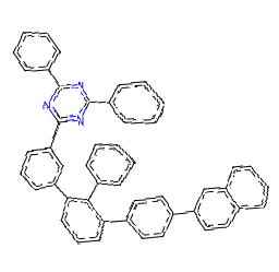 c1ccc(-c2nc(-c3ccccc3)nc(-c3cccc(-c4cccc(-c5ccc(-c6ccc7ccccc7c6)cc5)c4-c4ccccc4)c3)n2)cc1